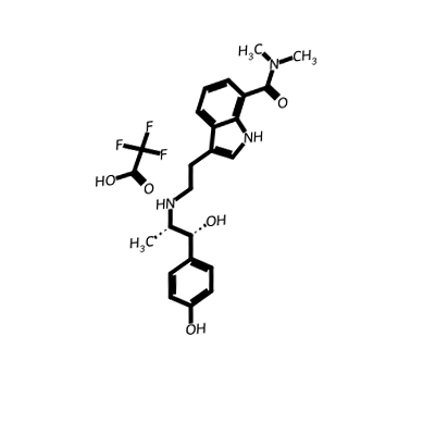 C[C@H](NCCc1c[nH]c2c(C(=O)N(C)C)cccc12)[C@H](O)c1ccc(O)cc1.O=C(O)C(F)(F)F